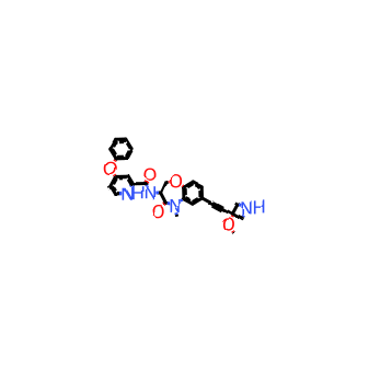 COC1(C#Cc2ccc3c(c2)N(C)C(=O)C(NC(=O)c2cc(Oc4ccccc4)ccn2)CO3)CNC1